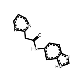 O=C(Cc1ncccn1)Nc1ccc2nc[nH]c2c1